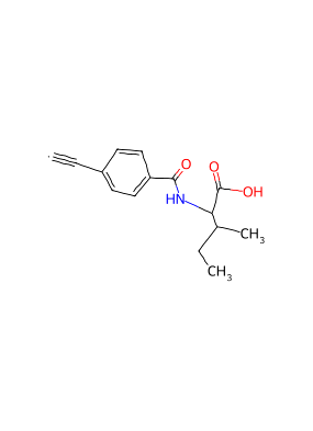 [C]#Cc1ccc(C(=O)NC(C(=O)O)C(C)CC)cc1